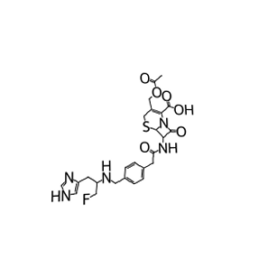 CC(=O)OCC1=C(C(=O)O)N2C(=O)C(NC(=O)Cc3ccc(CNC(CF)Cc4c[nH]cn4)cc3)C2SC1